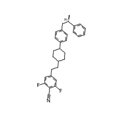 C[C@H](Cc1ccc(C2CCC(CCc3cc(F)c(C#N)c(F)c3)CC2)cc1)c1ccccc1